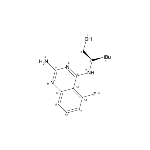 CC[C@H](C)[C@H](CO)Nc1nc(N)nc2cccc(F)c12